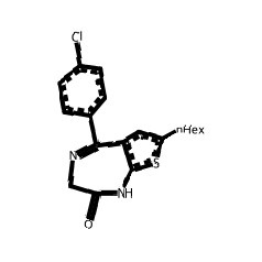 CCCCCCc1cc2c(s1)NC(=O)CN=C2c1ccc(Cl)cc1